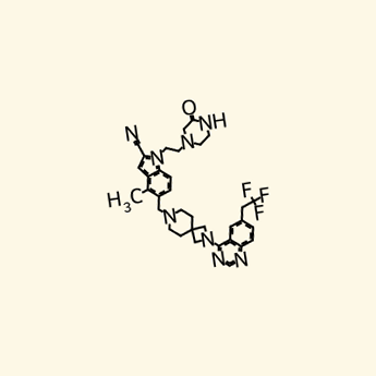 Cc1c(CN2CCC3(CC2)CN(c2ncnc4ccc(CC(F)(F)F)cc24)C3)ccc2c1cc(C#N)n2CCN1CCNC(=O)C1